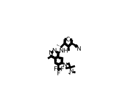 Cc1c(C#N)cccc1[C@@H](C)Nc1nnc(C)c2cc(C(F)(F)F)c(N3CC(C)(N(C)C)C3)cc12